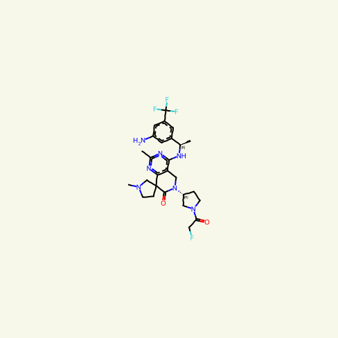 Cc1nc(N[C@H](C)c2cc(N)cc(C(F)(F)F)c2)c2c(n1)C1(CCN(C)C1)C(=O)N([C@@H]1CCN(C(=O)CF)C1)C2